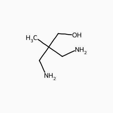 CC(CN)(CN)CO